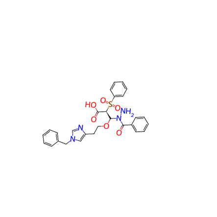 NN(C(=O)c1ccccc1)C(OCCc1cn(Cc2ccccc2)cn1)[C@@H](C(=O)O)S(=O)(=O)c1ccccc1